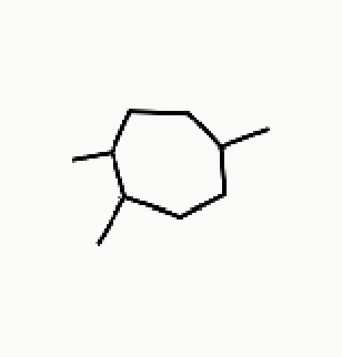 C[C]1CCC(C)CCC1C